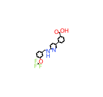 O=C(O)c1cccc(-c2ccc(NCc3cccc(OC(F)(F)F)c3)nc2)c1